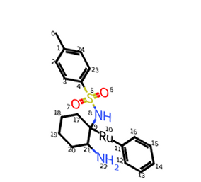 Cc1ccc(S(=O)(=O)N[C]2([Ru][c]3ccccc3)CCCCC2N)cc1